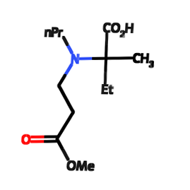 CCCN(CCC(=O)OC)C(C)(CC)C(=O)O